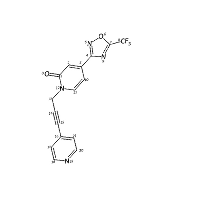 O=c1cc(-c2noc(C(F)(F)F)n2)ccn1CC#Cc1ccncc1